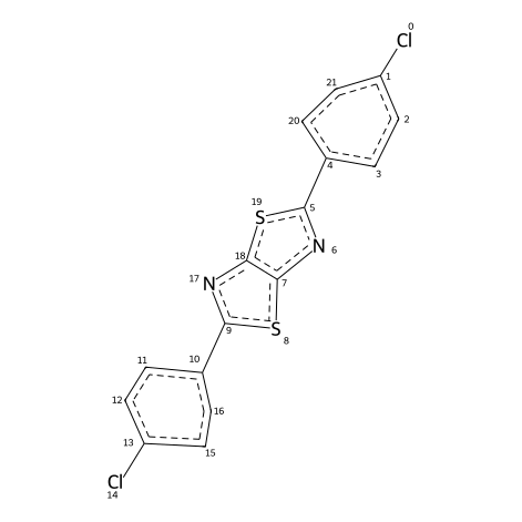 Clc1ccc(-c2nc3sc(-c4ccc(Cl)cc4)nc3s2)cc1